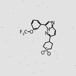 O=S1(=O)CCC(c2ccc3ncc(-c4cccc(OC(F)(F)F)c4)n3n2)CC1